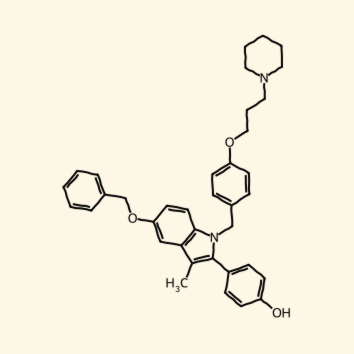 Cc1c(-c2ccc(O)cc2)n(Cc2ccc(OCCCN3CCCCC3)cc2)c2ccc(OCc3ccccc3)cc12